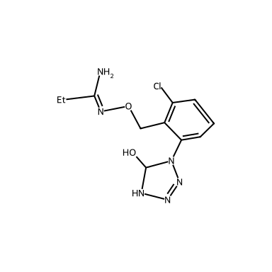 CCC(N)=NOCc1c(Cl)cccc1N1N=NNC1O